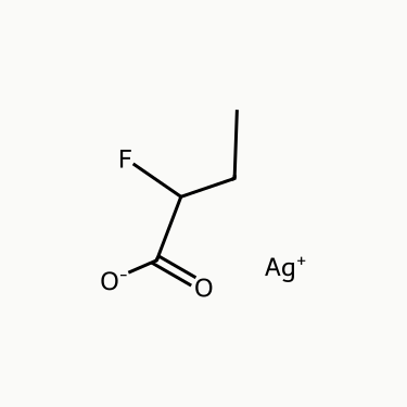 CCC(F)C(=O)[O-].[Ag+]